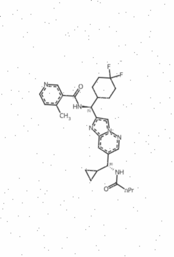 CCCC(=O)N[C@@H](c1cnn2cc([C@@H](NC(=O)c3cnccc3C)C3CCC(F)(F)CC3)nc2c1)C1CC1